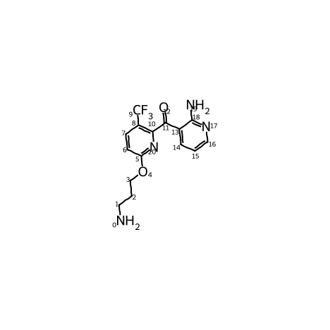 NCCCOc1ccc(C(F)(F)F)c(C(=O)c2cccnc2N)n1